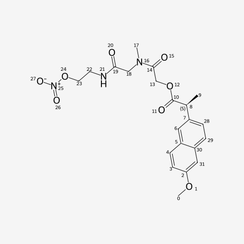 COc1ccc2cc([C@H](C)C(=O)OCC(=O)N(C)CC(=O)NCCO[N+](=O)[O-])ccc2c1